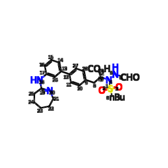 CCCCS(=O)(=O)N(NC=O)[C@@H](Cc1ccc(-c2cccc(NC3=NCCCCC3)c2)cc1)C(=O)O